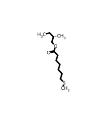 CC[C@H](C)COC(=O)CCCCCCSC